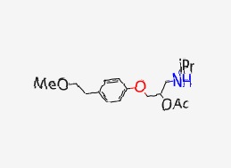 COCCc1ccc(OCC(CNC(C)C)OC(C)=O)cc1